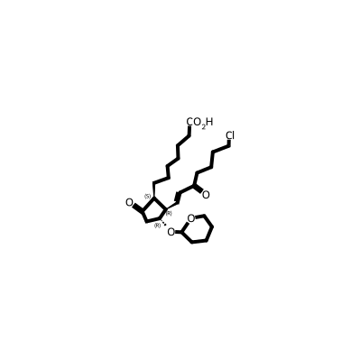 O=C(O)CCCCCC[C@@H]1C(=O)C[C@@H](OC2CCCCO2)[C@@H]1C=CC(=O)CCCCCl